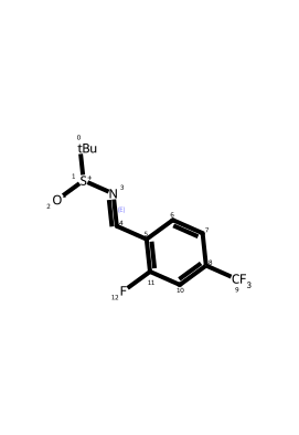 CC(C)(C)[S+]([O-])/N=C/c1ccc(C(F)(F)F)cc1F